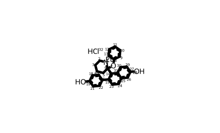 CCN1CCCCC1(Oc1ccccc1)c1c(-c2ccc(O)cc2)ccc2cc(O)ccc12.Cl